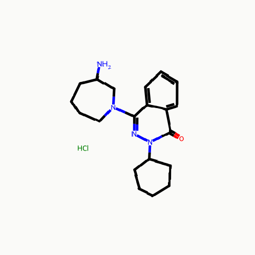 Cl.NC1CCCCN(c2nn(C3CCCCC3)c(=O)c3ccccc23)C1